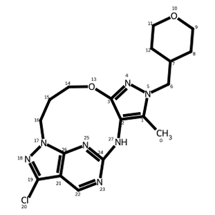 Cc1c2c(nn1CC1CCOCC1)OCCCn1nc(Cl)c3cnc(nc31)N2